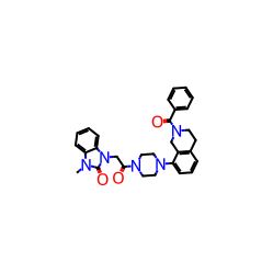 Cn1c(=O)n(CC(=O)N2CCN(c3cccc4c3CN(C(=O)c3ccccc3)CC4)CC2)c2ccccc21